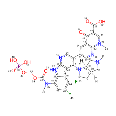 CN1C[C@H]2CCN(c3c(-c4cnc5c(c4)c(=O)c(C(=O)O)cn5C)cnc4[nH]c5c(N(C)C(=O)OCOP(=O)(O)O)cc(F)c(F)c5c34)[C@H]2C1